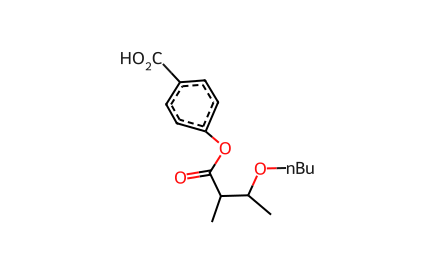 CCCCOC(C)C(C)C(=O)Oc1ccc(C(=O)O)cc1